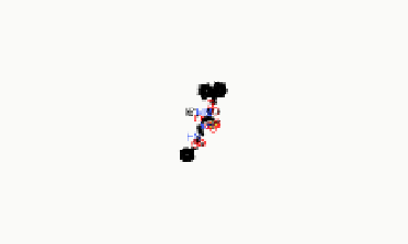 O=C(NCCNC(=O)[C@H](CS(=O)(=O)[O-])NC(=O)OCC1c2ccccc2-c2ccccc21)OCc1ccccc1.[K+]